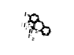 BC1(B)Sc2ccccc2Cc2ccc(F)c(F)c21